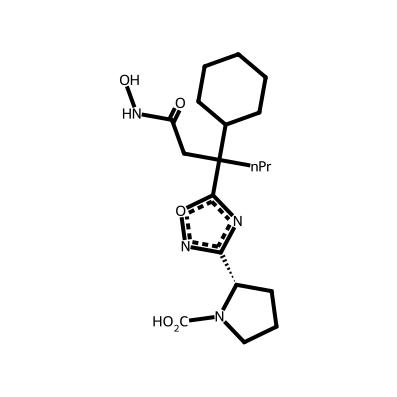 CCCC(CC(=O)NO)(c1nc([C@@H]2CCCN2C(=O)O)no1)C1CCCCC1